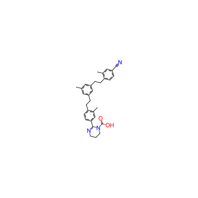 Cc1cc(CCc2ccc(C#N)cc2C)cc(CCc2ccc(C3=NCCCN3C(=O)O)cc2C)c1